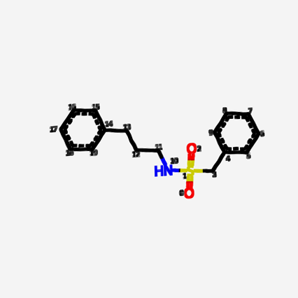 O=S(=O)(Cc1ccccc1)NCCCc1ccccc1